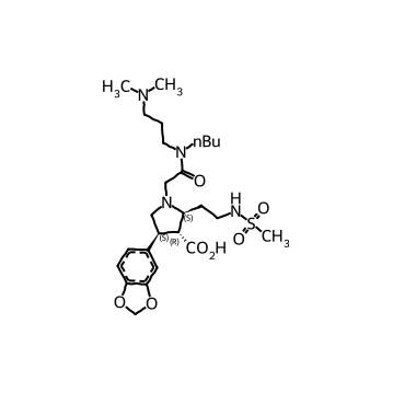 CCCCN(CCCN(C)C)C(=O)CN1C[C@H](c2ccc3c(c2)OCO3)[C@@H](C(=O)O)[C@@H]1CCNS(C)(=O)=O